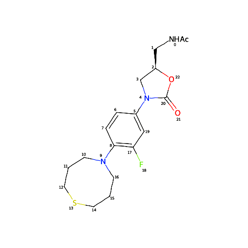 CC(=O)NC[C@@H]1CN(c2ccc(N3CCCSCCC3)c(F)c2)C(=O)O1